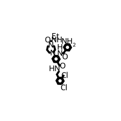 CCNC(=O)N1CCCN(c2ccc(C(=O)NCCc3ccc(Cl)cc3Cl)cc2NC(=O)c2cccc(N)c2)CC1